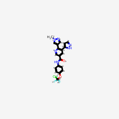 Cn1cc(-c2ncc(C(=O)Nc3ccc(OC(F)(F)Cl)cc3)cc2-c2ccn[nH]2)cn1